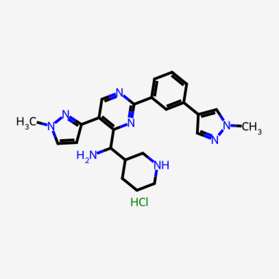 Cl.Cn1cc(-c2cccc(-c3ncc(-c4ccn(C)n4)c(C(N)C4CCCNC4)n3)c2)cn1